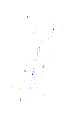 CC(=O)c1ccc(N2[C@@H]3CC[C@H]2C[C@@H](NC(=O)c2ccc(C(N)=O)c(NCC(C)C)c2)C3)nc1